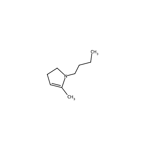 CCCCN1CCC=C1C